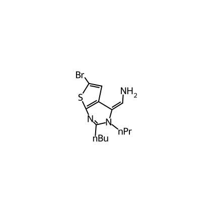 CCCCC1=Nc2sc(Br)cc2/C(=C\N)N1CCC